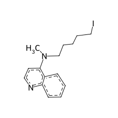 CN(CCCCCI)c1ccnc2ccccc12